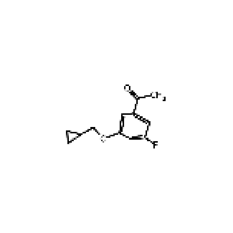 CC(=O)c1cc(F)cc(OCC2CC2)c1